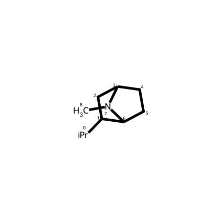 CC(C)C1CC2CCC1N2C